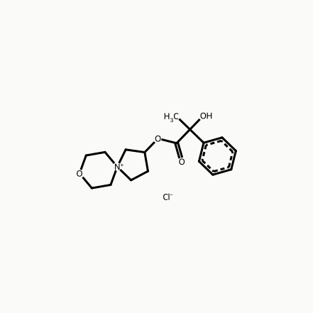 CC(O)(C(=O)OC1CC[N+]2(CCOCC2)C1)c1ccccc1.[Cl-]